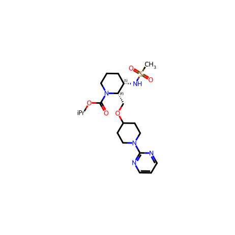 CC(C)OC(=O)N1CCC[C@H](NS(C)(=O)=O)[C@@H]1COC1CCN(c2ncccn2)CC1